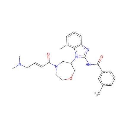 Cc1cccc2nc(NC(=O)c3cccc(C(F)(F)F)c3)n(C3COCCN(C(=O)/C=C/CN(C)C)C3)c12